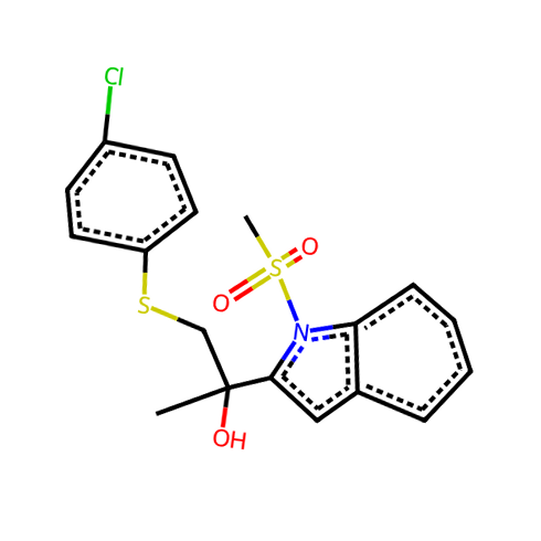 CC(O)(CSc1ccc(Cl)cc1)c1cc2ccccc2n1S(C)(=O)=O